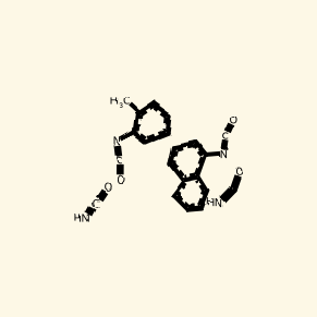 Cc1ccccc1N=C=O.N=C=O.N=C=O.O=C=Nc1cccc2ccccc12